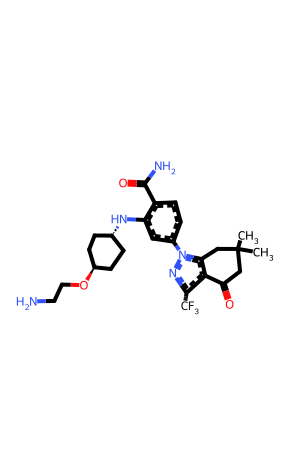 CC1(C)CC(=O)c2c(C(F)(F)F)nn(-c3ccc(C(N)=O)c(N[C@H]4CC[C@H](OCCN)CC4)c3)c2C1